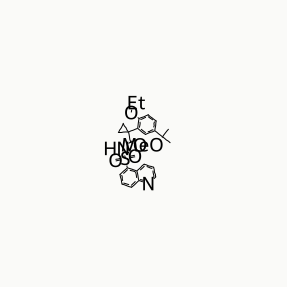 CCOc1ccc(C(C)(C)OC)cc1C1(C(=O)NS(=O)(=O)c2cccc3ncccc23)CC1